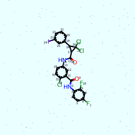 O=C(Nc1ccc(F)cc1F)c1cc(NC(=O)C2C(c3cccc(I)c3)C2(Cl)Cl)ccc1Cl